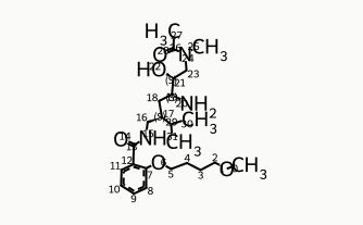 COCCCCOc1ccccc1C(=O)NC[C@@H](C[C@H](N)[C@@H](O)CN(C)C(C)=O)C(C)C